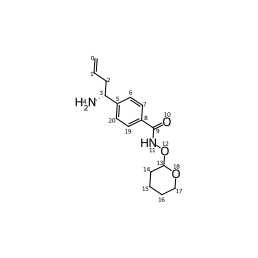 C=CC[C@@H](N)c1ccc(C(=O)NOC2CCCCO2)cc1